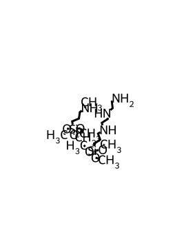 CNCCC[Si](OC)(OC)OC.CO[Si](CCCNCCNCCN)(OC)OC